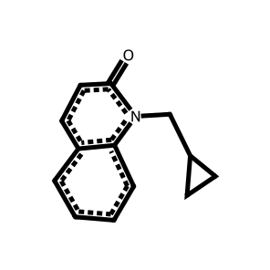 O=c1ccc2ccccc2n1CC1CC1